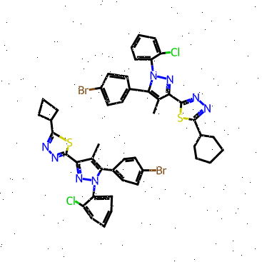 Cc1c(-c2nnc(C3CCC3)s2)nn(-c2ccccc2Cl)c1-c1ccc(Br)cc1.Cc1c(-c2nnc(C3CCCCC3)s2)nn(-c2ccccc2Cl)c1-c1ccc(Br)cc1